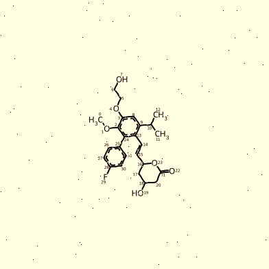 COc1c(OCCO)cc(C(C)C)c(/C=C/C2CC(O)CC(=O)O2)c1-c1ccc(F)cc1